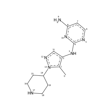 Cc1c(Nc2nccc(N)n2)cnn1C1CCNCC1